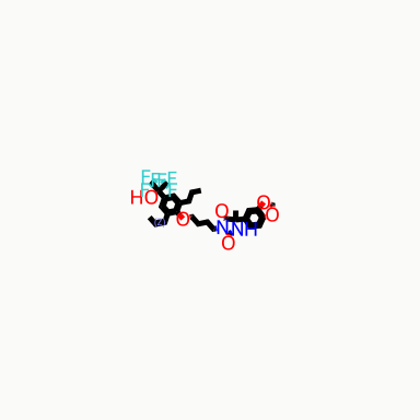 C/C=C\c1cc(C(O)(C(F)(F)F)C(F)(F)F)cc(CCC)c1OCCCCN1C(=O)NC(C)(c2ccc3c(c2)OCO3)C1=O